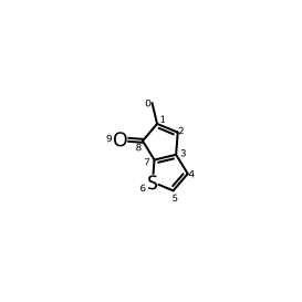 CC1=Cc2ccsc2C1=O